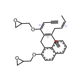 C#C/C=C(OCC1CO1)\C(Cc1c(OCC2CO2)ccc2ccccc12)=C(\C#C)C/C=C\C